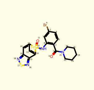 O=C(c1ccc(Br)cc1N[SH]1(=O)c2cc1c1nsnc1c2)N1CCCCC1